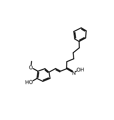 COc1cc(/C=C/C(CCCCc2ccccc2)=N/O)ccc1O